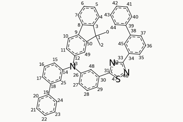 CC1(C)c2ccccc2-c2ccc(N(c3cccc(-c4ccccc4)c3)c3cccc(-c4nc(-c5cccc(-c6ccccc6)c5)ns4)c3)cc21